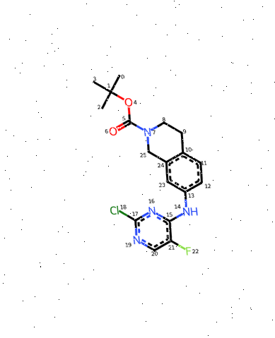 CC(C)(C)OC(=O)N1CCc2ccc(Nc3nc(Cl)ncc3F)cc2C1